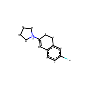 Fc1ccc2c(c1)CCC(N1CCCC1)=C2